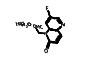 Cl.O.O=CCn1c(=O)ccc2ncc(F)cc21